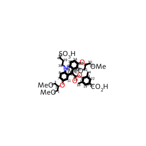 COCC(COC)Oc1ccc2c(c1)c(C(=O)Oc1c(C)cc(C(=O)O)cc1C)c1cc(OC(COC)COC)ccc1[n+]2CCCS(=O)(=O)O